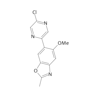 COc1cc2nc(C)oc2cc1-c1cnc(Cl)cn1